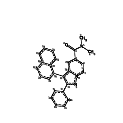 CN(C)C(=O)c1ccn2nc(-c3ccccn3)c(-c3ccnc4ccccc34)c2c1